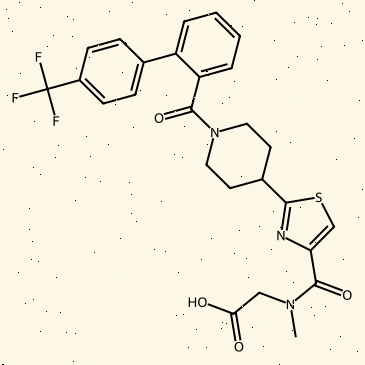 CN(CC(=O)O)C(=O)c1csc(C2CCN(C(=O)c3ccccc3-c3ccc(C(F)(F)F)cc3)CC2)n1